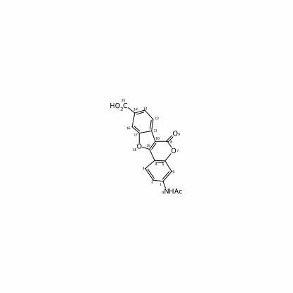 CC(=O)Nc1ccc2c(c1)oc(=O)c1c3ccc(C(=O)O)cc3oc21